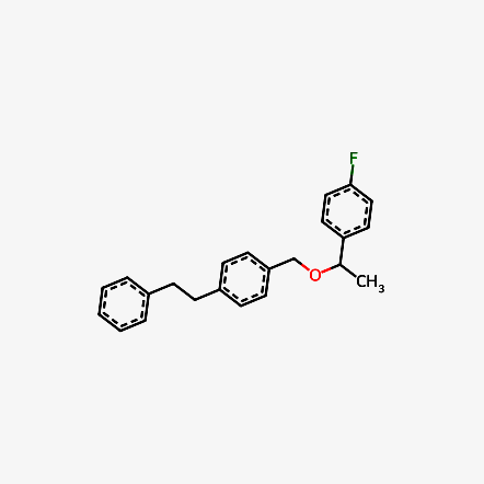 CC(OCc1ccc(CCc2ccccc2)cc1)c1ccc(F)cc1